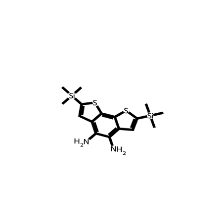 C[Si](C)(C)c1cc2c(N)c(N)c3cc([Si](C)(C)C)sc3c2s1